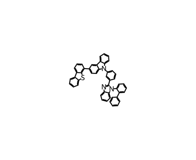 c1ccc(-c2ccccc2-n2c(-c3cccc(-n4c5ccccc5c5cc(-c6cccc7c6sc6ccccc67)ccc54)c3)nc3ccccc32)cc1